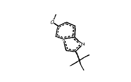 COc1ccc2nc(C(C)(C)C)cn2c1